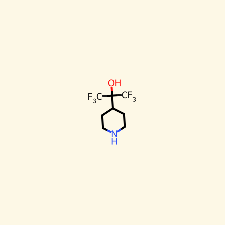 OC(C1CCNCC1)(C(F)(F)F)C(F)(F)F